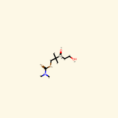 CN(C)C(=S)SC[C](C)(C)[Co](=[O])[CH2]CO